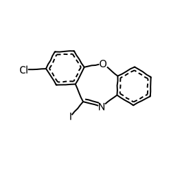 Clc1ccc2c(c1)C(I)=Nc1ccccc1O2